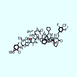 CC[C@H](C)[C@H](NC(=O)[C@H](CC(C)C)N(C)C(=O)C[C@@H](C(=O)N(C)C)N(C)C(=O)[C@H](C1CCCC1)N(C)C(=O)C1(NC(=O)[C@@H]2CCCN2C(=O)[C@H](CCc2cc(F)c(C(F)(F)F)c(F)c2)NC(=O)OCc2ccccc2)CCCC1)C(=O)N(C)[C@@H](C)C(=O)N1CC[C@H]1C(=O)N(CC)[C@@H](Cc1ccc(C)cc1)C(=O)N(C)CC(=O)OC(C)(C)C